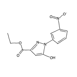 CCOC(=O)c1cc(O)n(-c2cccc([N+](=O)[O-])c2)n1